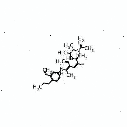 C=CC(/C=C(/F)C(=C)BC(C)[C@H](C)NC(=C)C)=C(/C)Nc1ccc(CCC)c(C=C)c1